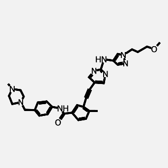 COCCCn1cc(Nc2ncc(C#Cc3cc(C(=O)Nc4ccc(CN5CCN(C)CC5)cc4)ccc3C)cn2)cn1